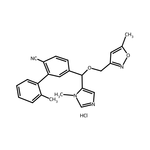 Cc1cc(COC(c2ccc(C#N)c(-c3ccccc3C)c2)c2cncn2C)no1.Cl